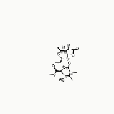 CCC1O[C@@H](C)[C@H]2NC(=O)OC2[C@@H]1O[C@@H]1OC(C(=O)OC)[C@@H](O)C(C)[C@@H]1C